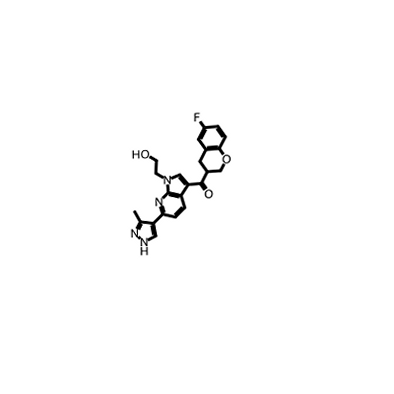 Cc1n[nH]cc1-c1ccc2c(C(=O)C3COc4ccc(F)cc4C3)cn(CCO)c2n1